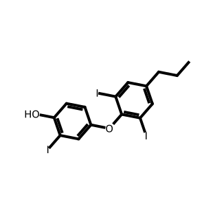 CCCc1cc(I)c(Oc2ccc(O)c(I)c2)c(I)c1